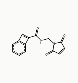 O=C(NCN1C(=O)C=CC1=O)C1=Cc2ccccc21